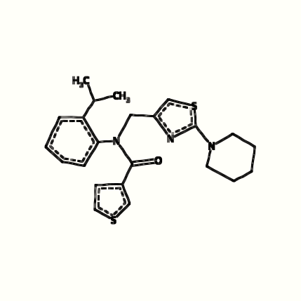 CC(C)c1ccccc1N(Cc1csc(N2CCCCC2)n1)C(=O)c1ccsc1